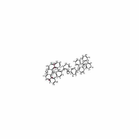 c1ccc(-c2ccc(-c3cccc4c3oc3ccc(-c5cccc([Si](c6ccccc6)(c6ccccc6)c6ccccc6)c5)cc34)c(-c3ccccc3)c2B2c3ccccc3Oc3ccccc32)cc1